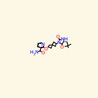 CC(C)(C)C[C@@H]1NC(=O)N(C2CC3(CC(Oc4ncccc4C(N)=O)C3)C2)C1=O